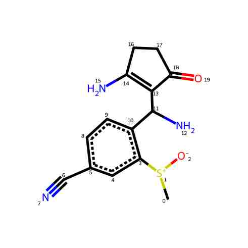 C[S+]([O-])c1cc(C#N)ccc1C(N)C1=C(N)CCC1=O